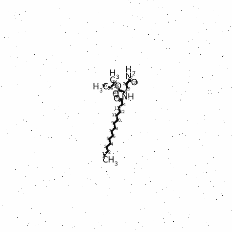 CCCCCCCCCCCCCCCC(=O)N[C@@H](CCC(N)=O)C(=O)OC(C)CC